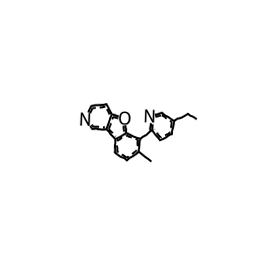 CCc1ccc(-c2c(C)ccc3c2oc2ccncc23)nc1